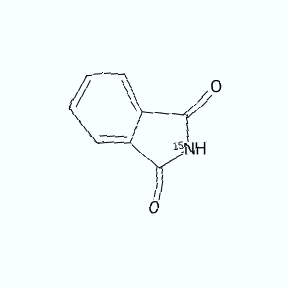 O=C1[15NH]C(=O)c2ccccc21